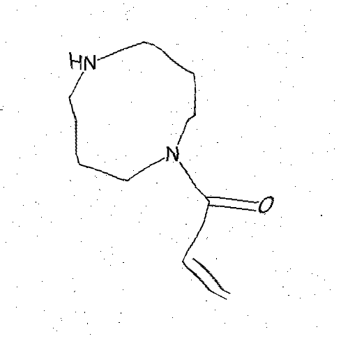 C=CC(=O)N1CCCNCCC1